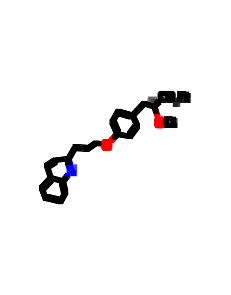 CCOC(=O)[C@H](Cc1ccc(OCC=Cc2ccc3ccccc3n2)cc1)OCC